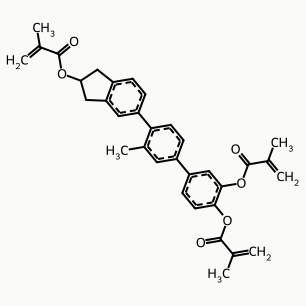 C=C(C)C(=O)Oc1ccc(-c2ccc(-c3ccc4c(c3)CC(OC(=O)C(=C)C)C4)c(C)c2)cc1OC(=O)C(=C)C